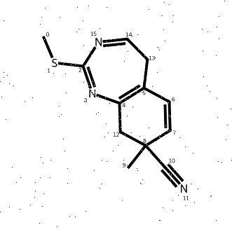 CSC1=NC2=C(C=CC(C)(C#N)C2)CC=N1